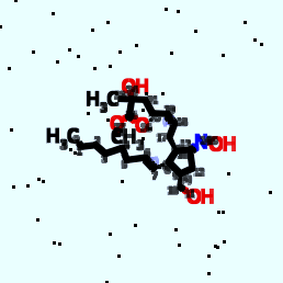 CCCCCC/C=C/[C@H]1[C@H](CO)CC(=NO)[C@@H]1C/C=C\CCC(C)(O)C(=O)OC